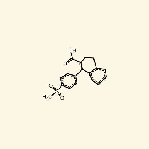 CS(=O)(=O)c1ccc(C2c3ccccc3CCN2C(=O)O)cc1